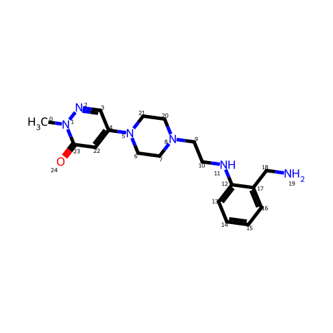 Cn1ncc(N2CCN(CCNc3ccccc3CN)CC2)cc1=O